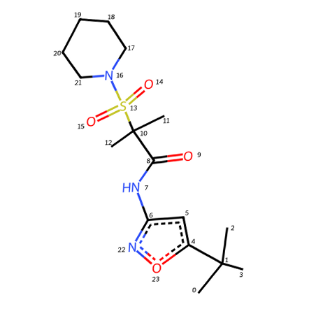 CC(C)(C)c1cc(NC(=O)C(C)(C)S(=O)(=O)N2CCCCC2)no1